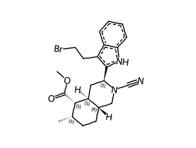 COC(=O)[C@@H]1[C@H]2C[C@@H](c3[nH]c4ccccc4c3CCBr)N(C#N)C[C@@H]2CC[C@@H]1C